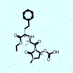 CCOC(=O)[C@H](CCc1ccccc1)N[C@@H](C)C(=O)N1C(=O)N(C)C[C@@H]1OC(=O)O